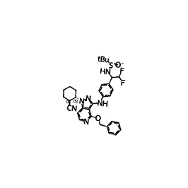 CC(C)(C)[S+]([O-])NC(c1ccc(Nc2nn([C@H]3CCCC[C@@H]3C#N)c3ccnc(OCc4ccccc4)c23)cc1)C(F)F